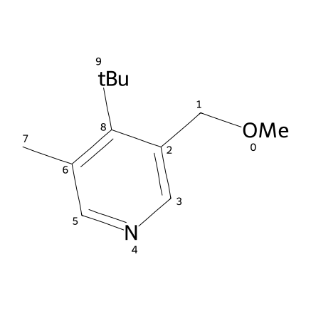 COCc1cncc(C)c1C(C)(C)C